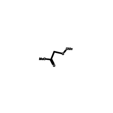 COOCC(=O)OC